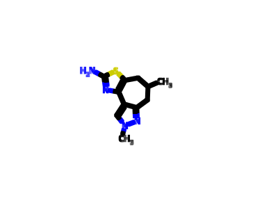 CC1Cc2nn(C)cc2-c2nc(N)sc2C1